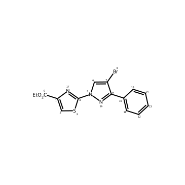 CCOC(=O)c1csc(-n2cc(Br)c(-c3ccccc3)n2)n1